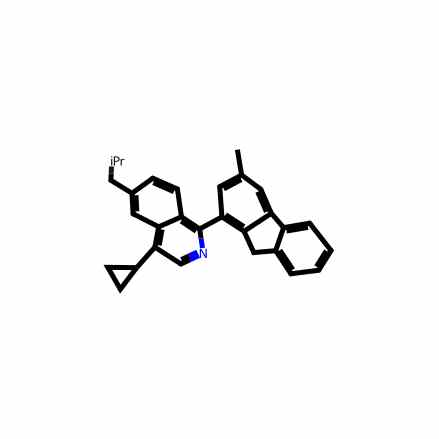 Cc1cc2c(c(-c3ncc(C4CC4)c4cc(CC(C)C)ccc34)c1)Cc1ccccc1-2